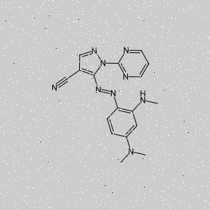 CNc1cc(N(C)C)ccc1/N=N/c1c(C#N)cnn1-c1ncccn1